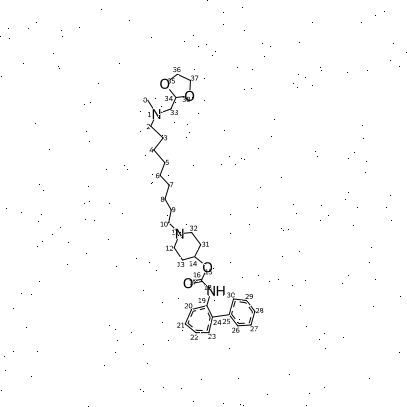 CN(CCCCCCCCCN1CCC(OC(=O)Nc2ccccc2-c2ccccc2)CC1)CC1OCCO1